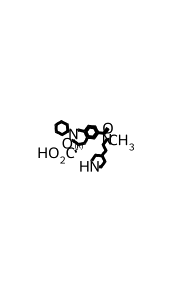 CN(CCC1CCNCC1)C(=O)c1ccc2c(c1)C[C@H](CC(=O)O)C(=O)N(C1CCCCC1)C2